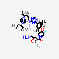 C=C/C=C(O[C@H]1CCN(C(=O)C(C)C[C@@H](O)CN)C[C@H]1F)\C(C#N)=C/C(C)c1ncnc(NC(=C)/C=C\C(=C/C)N2CCN(C(C)COC)CC2)n1